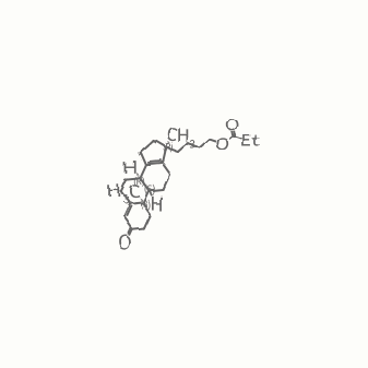 CCC(=O)OCCCC[C@]1(C)CCC2=C1CC[C@H]1[C@H]2CCC2=CC(=O)CC[C@@]21C